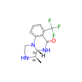 C[C@H]1NCCN2c3cccc(C(F)(F)F)c3C(=O)N[C@H]12